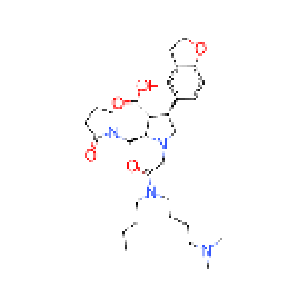 CCCCN(CCCCN(C)C)C(=O)CN1C[C@H](c2ccc3c(c2)CCO3)[C@@H](C(=O)O)[C@@H]1CN1CCCC1=O